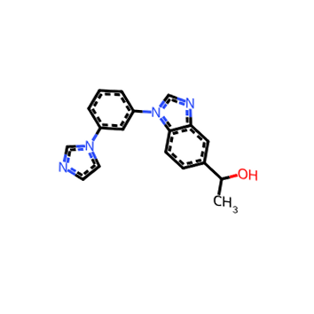 CC(O)c1ccc2c(c1)ncn2-c1cccc(-n2ccnc2)c1